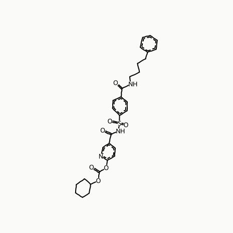 O=C(Oc1ccc(C(=O)NS(=O)(=O)c2ccc(C(=O)NCCCCc3ccccc3)cc2)cn1)OC1CCCCC1